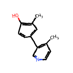 Cc1cc(-c2cnccc2C)ccc1O